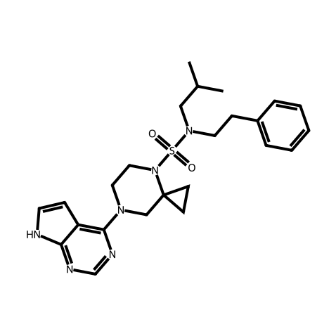 CC(C)CN(CCc1ccccc1)S(=O)(=O)N1CCN(c2ncnc3[nH]ccc23)CC12CC2